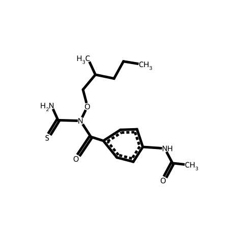 CCCC(C)CON(C(=O)c1ccc(NC(C)=O)cc1)C(N)=S